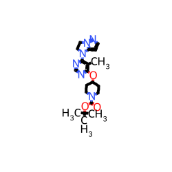 Cc1c(OC2CCN(C(=O)OC(C)(C)C)CC2)ncnc1N1CCn2nccc21